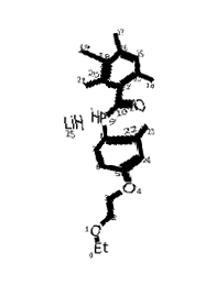 CCOCCOc1ccc(PC(=O)c2c(C)cc(C)c(C)c2C)c(C)c1.[LiH]